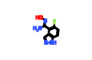 N/C(=N\O)c1c(F)ccc2[nH]ncc12